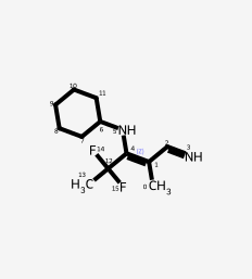 C/C(C=N)=C(/NC1CCCCC1)C(C)(F)F